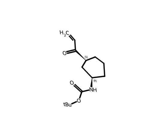 C=CC(=O)[C@H]1CCC[C@@H](NC(=O)OC(C)(C)C)C1